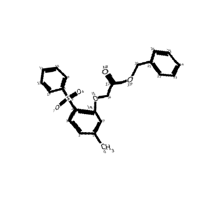 Cc1ccc(S(=O)(=O)c2ccccc2)c(OCC(=O)OCc2ccccc2)c1